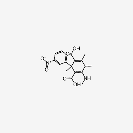 CNC1=C(C(=O)O)C(C)(c2cccc([N+](=O)[O-])c2)C(C(=O)O)=C(C)C1C